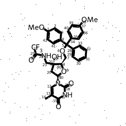 COc1ccc(C(OC[C@H]2O[C@@H](n3cc(C)c(=O)[nH]c3=O)C[C@@]2(O)CNC(=O)C(F)(F)F)(c2ccccc2)c2ccc(OC)cc2)cc1